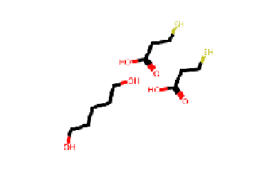 O=C(O)CCS.O=C(O)CCS.OCCCCCO